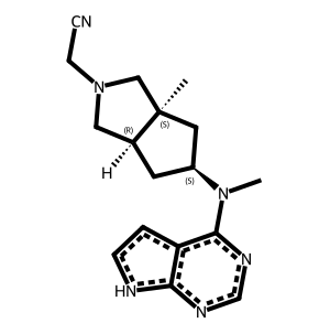 CN(c1ncnc2[nH]ccc12)[C@H]1C[C@H]2CN(CC#N)C[C@@]2(C)C1